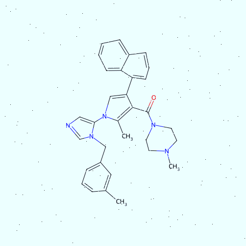 Cc1cccc(Cn2cncc2-n2cc(-c3cccc4ccccc34)c(C(=O)N3CCN(C)CC3)c2C)c1